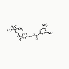 C[N+](C)(C)CCOP(=O)(O)OCCOC(=O)c1cc(N)cc(N)c1